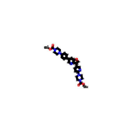 CC(C)(C)OC(=O)N1CCN(c2ccc(-c3cnc4c(-c5ccc(N6CCN(C(=O)OC(C)(C)C)CC6)nc5)coc4c3)cc2)CC1